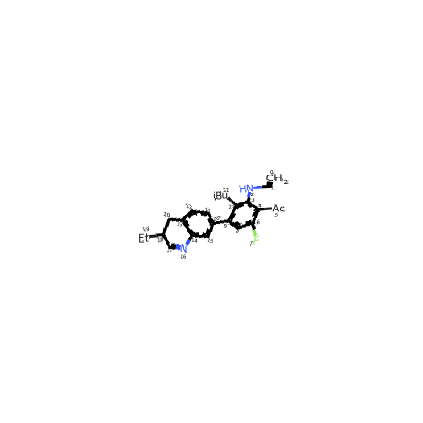 C=CNc1c(C(C)=O)c(F)cc(-c2ccc3c(c2)N=CC(CC)C3)c1C(C)CC